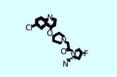 N#C[C@@H]1C[C@H](F)CN1C(=O)CN1CCC(Oc2ccnc3ccc(Cl)cc23)CC1